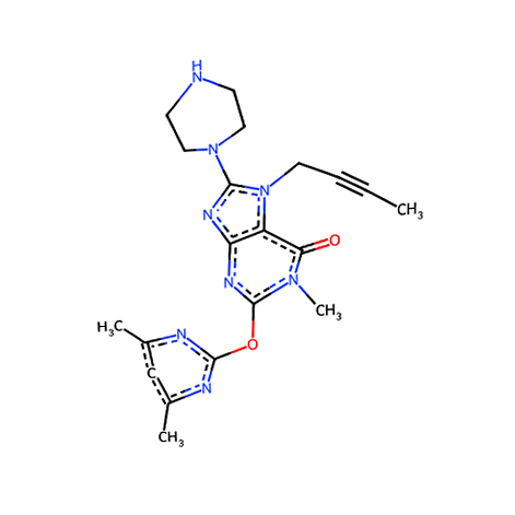 CC#CCn1c(N2CCNCC2)nc2nc(Oc3nc(C)cc(C)n3)n(C)c(=O)c21